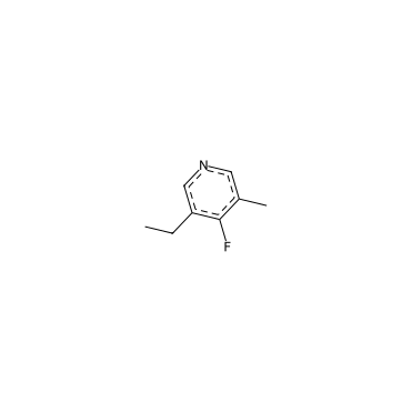 CCc1cncc(C)c1F